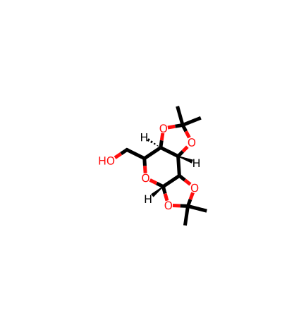 CC1(C)OC2[C@@H](OC(CO)[C@H]3OC(C)(C)O[C@H]23)O1